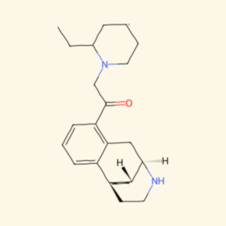 CCC1C[CH]CCN1CC(=O)c1cccc2c1C[C@H]1NCC[C@@]23CCCC[C@@H]13